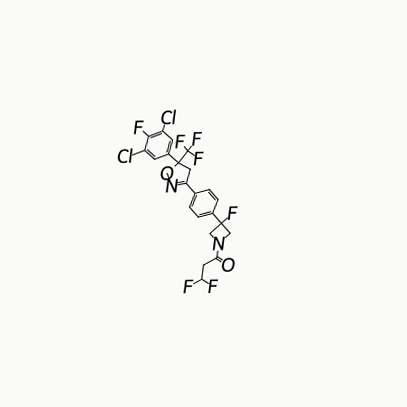 O=C(CC(F)F)N1CC(F)(c2ccc(C3=NOC(c4cc(Cl)c(F)c(Cl)c4)(C(F)(F)F)C3)cc2)C1